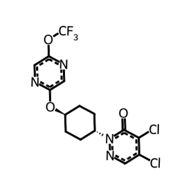 O=c1c(Cl)c(Cl)cnn1[C@H]1CC[C@H](Oc2cnc(OC(F)(F)F)cn2)CC1